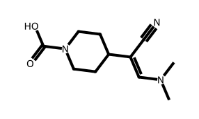 CN(C)/C=C(\C#N)C1CCN(C(=O)O)CC1